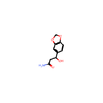 NC(=O)CC(O)c1ccc2c(c1)OCO2